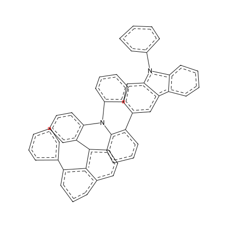 c1ccc(-c2cccc3cccc(-c4ccccc4N(c4ccccc4)c4ccccc4-c4ccc5c(c4)c4ccccc4n5-c4ccccc4)c23)cc1